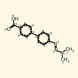 CN(C)N=Nc1ccc(-c2ccc(C(=O)O)cc2)cc1